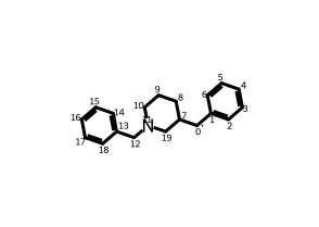 [CH](c1ccccc1)C1CCCN(Cc2ccccc2)C1